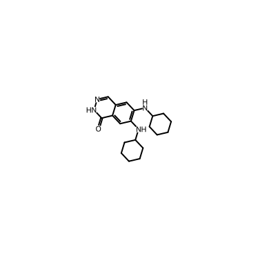 O=c1[nH]ncc2cc(NC3CCCCC3)c(NC3CCCCC3)cc12